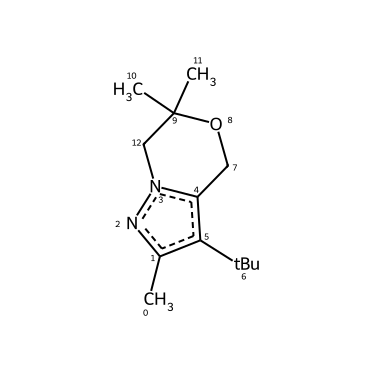 Cc1nn2c(c1C(C)(C)C)COC(C)(C)C2